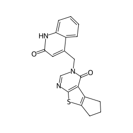 O=c1cc(Cn2cnc3sc4c(c3c2=O)CCC4)c2ccccc2[nH]1